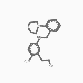 Nc1ccc(NCc2ccccc2N2CCOCC2)cc1CCO